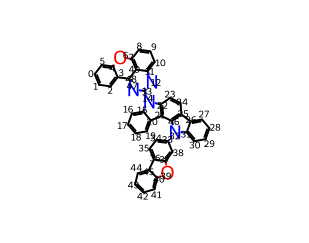 c1ccc2c(c1)Oc1cccc3nc(-n4c5ccccc5c5c4ccc4c6ccccc6n(-c6ccc7c(c6)oc6ccccc67)c45)nc-2c13